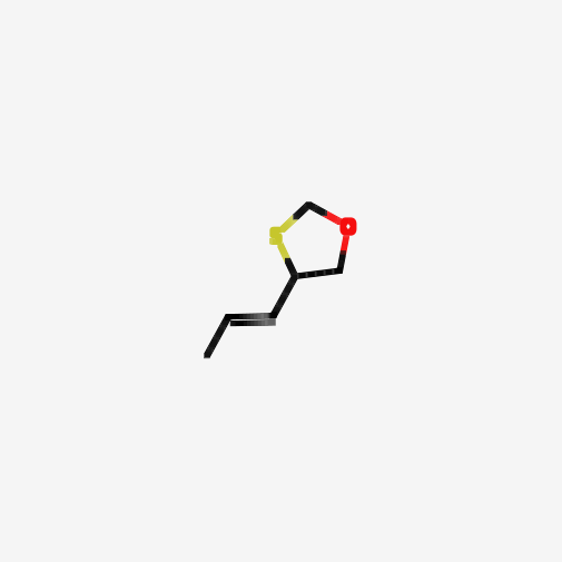 CC=CC1COCS1